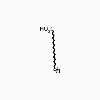 C[Si](C)(Cl)CCCCCCCCCCCCCCCCC(=O)O